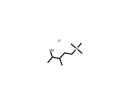 CCCCC(C)C(C)CC[N+](C)(C)C.[Cl-]